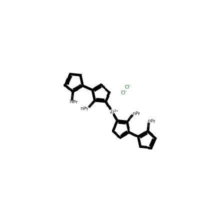 CCCC1=C(C2=CC[C]([Zr+2][C]3=C(CCC)C(C4=C(CCC)C=CC4)=CC3)=C2CCC)CC=C1.[Cl-].[Cl-]